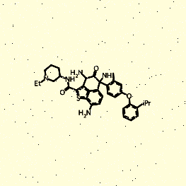 CCN1CCCC(NC(=O)c2sc3c(N)ccc4c3c2C(N)C(=O)C4(N)c2ccc(Oc3ccccc3C(C)C)cc2C)C1